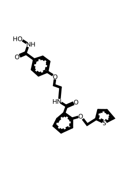 O=C(NO)c1ccc(OCCNC(=O)c2ccccc2OCc2cccs2)cc1